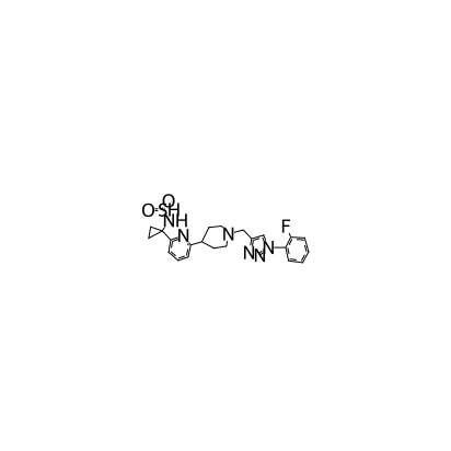 O=[SH](=O)NC1(c2cccc(C3CCN(Cc4cn(-c5ccccc5F)nn4)CC3)n2)CC1